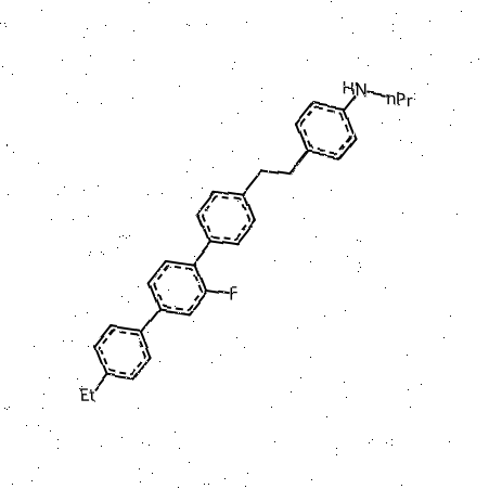 CCCNc1ccc(CCc2ccc(-c3ccc(-c4ccc(CC)cc4)cc3F)cc2)cc1